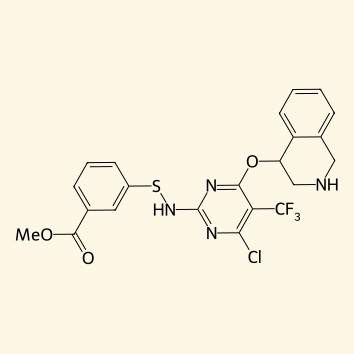 COC(=O)c1cccc(SNc2nc(Cl)c(C(F)(F)F)c(OC3CNCc4ccccc43)n2)c1